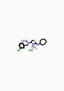 Br.CN1C(=NC2CCCCCC2)SCC1N(C=O)Cc1cccc(Br)c1